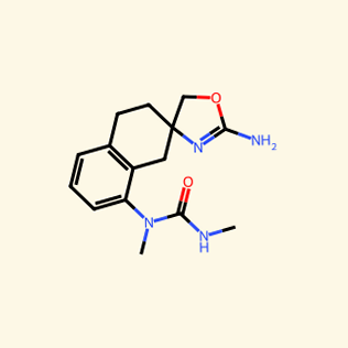 CNC(=O)N(C)c1cccc2c1CC1(CC2)COC(N)=N1